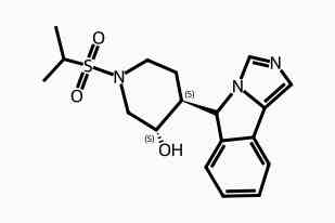 CC(C)S(=O)(=O)N1CC[C@@H](C2c3ccccc3-c3cncn32)[C@H](O)C1